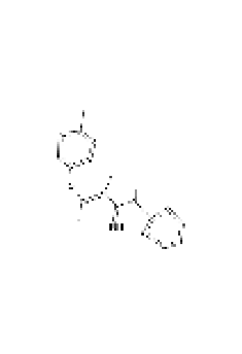 CC(Sc1ccc(C)cc1)=C(C)C(=N)Nc1ccccc1